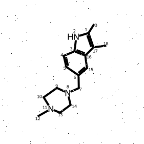 Cc1[nH]c2ccc(CN3CCN(C)CC3)cc2c1C